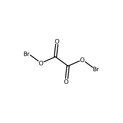 O=C(OBr)C(=O)OBr